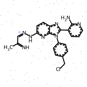 CC(=N)/C=N\Nc1ccc2nc(-c3cccnc3N)n(-c3ccc(CCl)cc3)c2n1